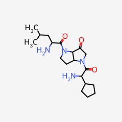 CC(C)CC(N)C(=O)N1CCC2C1C(=O)CN2C(=O)C(N)C1CCCC1